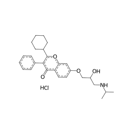 CC(C)NCC(O)COc1ccc2c(=O)c(-c3ccccc3)c(C3CCCCC3)oc2c1.Cl